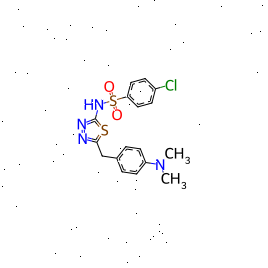 CN(C)c1ccc(Cc2nnc(NS(=O)(=O)c3ccc(Cl)cc3)s2)cc1